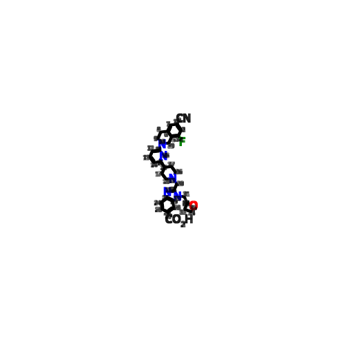 N#Cc1cc(F)c2c(c1)CCN(c1cccc(C3CCN(Cc4nc5ccc(C(=O)O)cc5n4C[C@@H]4CCO4)CC3)n1)C2